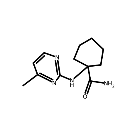 Cc1ccnc(NC2(C(N)=O)CCCCC2)n1